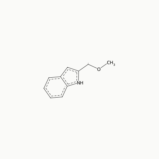 CO[CH]c1cc2ccccc2[nH]1